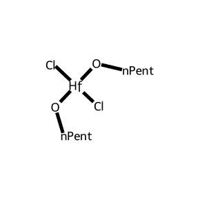 CCCCC[O][Hf]([Cl])([Cl])[O]CCCCC